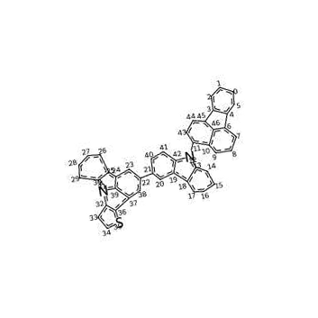 c1ccc2c(c1)-c1cccc3c(-n4c5ccccc5c5cc(-c6cc7c8ccccc8n8c9ccsc9c(c6)c78)ccc54)ccc-2c13